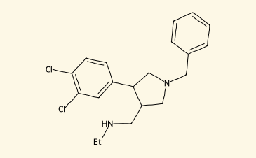 CCNCC1CN(Cc2ccccc2)CC1c1ccc(Cl)c(Cl)c1